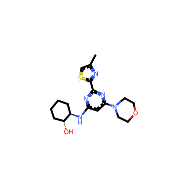 Cc1csc(-c2nc(N[C@@H]3CCCC[C@H]3O)cc(N3CCOCC3)n2)n1